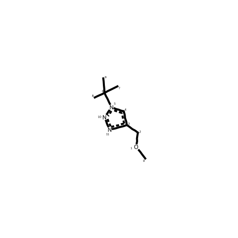 COCc1cn(C(C)(C)C)nn1